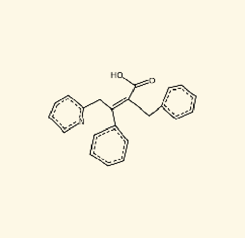 O=C(O)C(Cc1ccccc1)=C(Cc1ccccn1)c1ccccc1